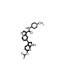 CN1CCC(NC(=O)c2cnn3ccc(-c4c[nH]c5nc(OC(F)F)ccc45)cc23)CC1